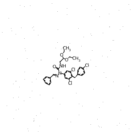 CCOC(CNC(=O)N(N=Cc1ccccc1)c1cc(Cl)c(Cc2ccc(Cl)cc2)c(Cl)c1)OCC